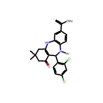 C=C(OC)c1ccc2c(c1)NC1=C(C(=O)CC(C)(C)C1)C(c1ccc(Cl)cc1Cl)N2C(C)=O